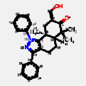 CC1(C)C(=O)/C(=C\O)C[C@]2(C)c3c(c(-c4ccccc4)nn3-c3ccccc3)CC[C@@H]12